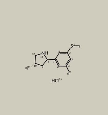 CSc1cc(F)cc([C@H]2C[C@H](F)CN2)c1.Cl